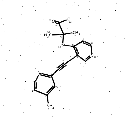 Cc1cccc(C#Cc2cnccc2SC(C)(C)C(=O)O)c1